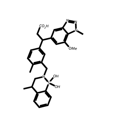 COc1cc(C(CC(=O)O)c2ccc(C)c(CN3CC(C)c4ccccc4S3(O)O)c2)cc2nnn(C)c12